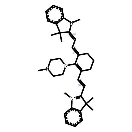 CN1CCN(C2=C(/C=C/C3=[N+](C)c4ccccc4C3(C)C)CCC/C2=C\C=C2\N(C)c3ccccc3C2(C)C)CC1